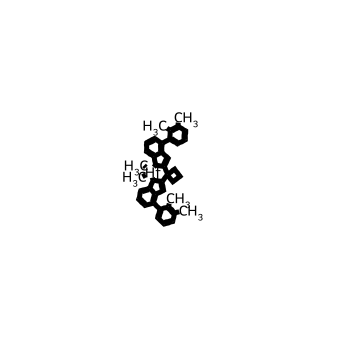 Cc1cccc(-c2cccc3c2C=C2[CH]3[Hf]([CH3])([CH3])[CH]3C(=Cc4c(-c5cccc(C)c5C)cccc43)C23CCC3)c1C